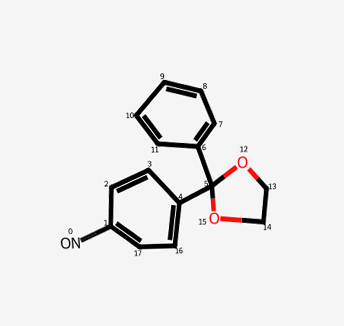 O=Nc1ccc(C2(c3ccccc3)OCCO2)cc1